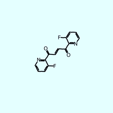 O=C(C=CC(=O)c1ncccc1F)c1ncccc1F